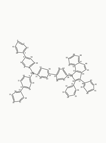 c1ccc(-c2ccc(N(c3ccc(-c4ccccc4)cc3)c3ccc(-c4ccc(-n5c(-c6ccccc6)c(-c6ccccc6)c6ccc7ccccc7c65)cc4)cc3)cc2)cc1